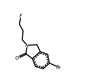 O=C1c2ccc(Br)cc2CN1CCCF